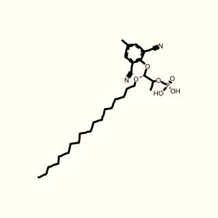 CCCCCCCCCCCCCCCCCCO[C@H](Oc1c(C#N)cc(C)cc1C#N)C(C)OP(=O)(O)O